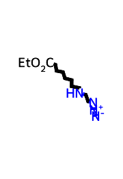 CCOC(=O)CCCCCCCNCCN=[N+]=[N-]